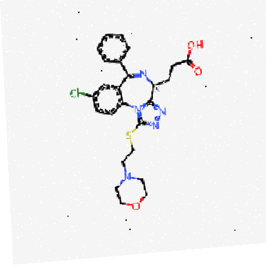 O=C(O)CC[C@@H]1N=C(c2ccccc2)c2cc(Cl)ccc2-n2c(SCCN3CCOCC3)nnc21